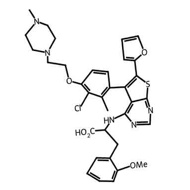 COc1ccccc1CC(Nc1ncnc2sc(-c3ccco3)c(-c3ccc(OCCN4CCN(C)CC4)c(Cl)c3C)c12)C(=O)O